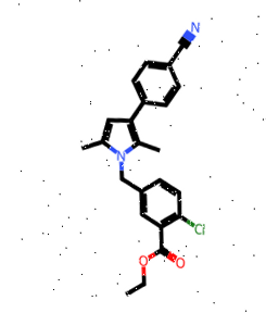 CCOC(=O)c1cc(Cn2c(C)cc(-c3ccc(C#N)cc3)c2C)ccc1Cl